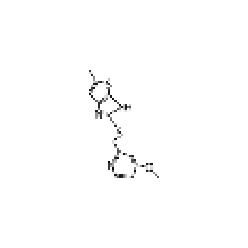 COc1ccnc(CSc2nc3cc(C)sc3[nH]2)c1